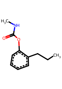 CCCc1ccccc1OC(=O)NC